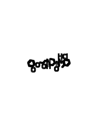 COc1ccccc1OCC(O)CN1CCC(N(C=O)Nc2c(C)cccc2Cl)CC1